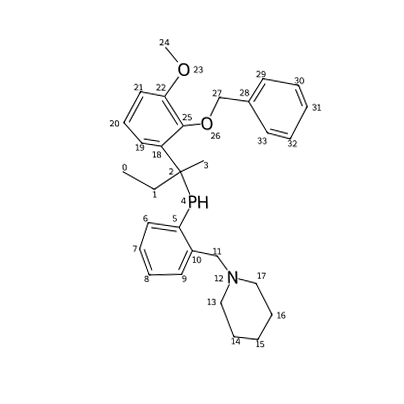 CCC(C)(Pc1ccccc1CN1CCCCC1)c1cccc(OC)c1OCc1ccccc1